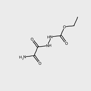 CCOC(=O)NNC(=O)C(N)=O